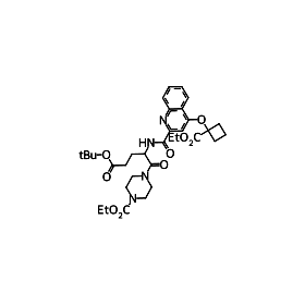 CCOC(=O)N1CCN(C(=O)C(CCC(=O)OC(C)(C)C)NC(=O)c2cc(OC3(C(=O)OCC)CCC3)c3ccccc3n2)CC1